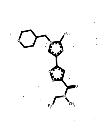 CN(CC(F)(F)F)C(=O)c1cc(-c2cn(CC3CCOCC3)c(C(C)(C)C)n2)on1